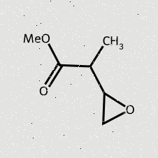 COC(=O)C(C)C1CO1